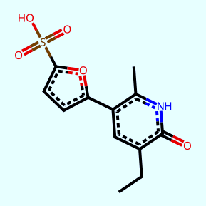 CCc1cc(-c2ccc(S(=O)(=O)O)o2)c(C)[nH]c1=O